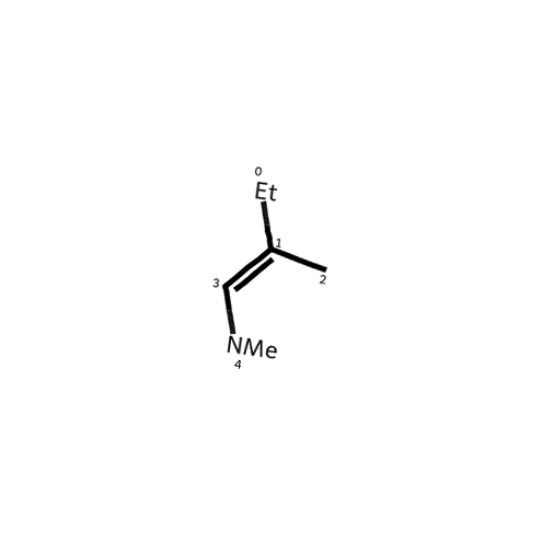 CC/C(C)=C/NC